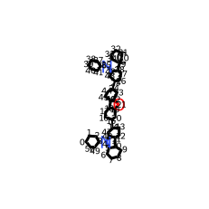 c1ccc(-n2c3ccccc3c3ccc(-c4ccc5c(c4)oc4cc(-c6ccc7c8ccccc8n(-c8ccccc8)c7c6)ccc45)cc32)cc1